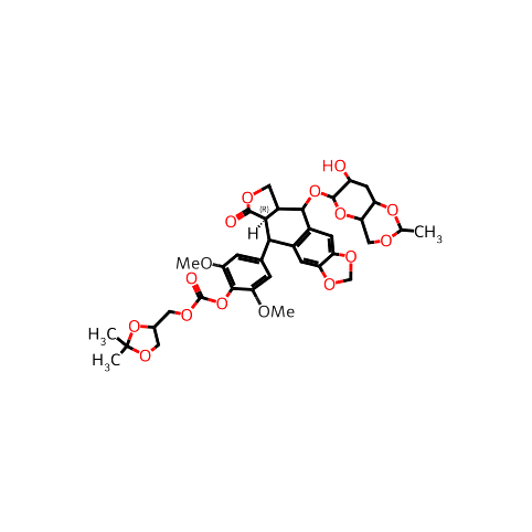 COc1cc(C2c3cc4c(cc3C(OC3OC5COC(C)OC5CC3O)C3COC(=O)[C@H]23)OCO4)cc(OC)c1OC(=O)OCC1COC(C)(C)O1